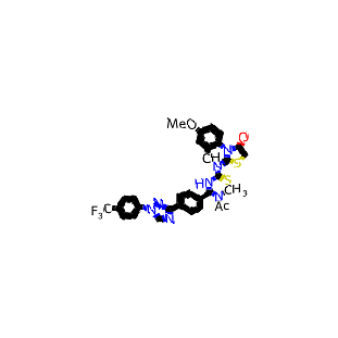 COc1ccc(N2C(=O)CS/C2=N\C(=S)NC(c2ccc(-c3ncn(-c4ccc(C(F)(F)F)cc4)n3)cc2)N(C)C(C)=O)c(C)c1